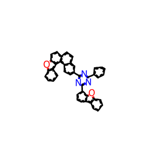 c1ccc(-c2nc(-c3ccc4c(ccc5ccc6oc7ccccc7c6c54)c3)nc(-c3cccc4c3oc3ccccc34)n2)cc1